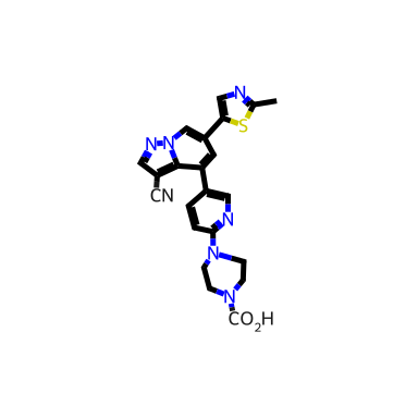 Cc1ncc(-c2cc(-c3ccc(N4CCN(C(=O)O)CC4)nc3)c3c(C#N)cnn3c2)s1